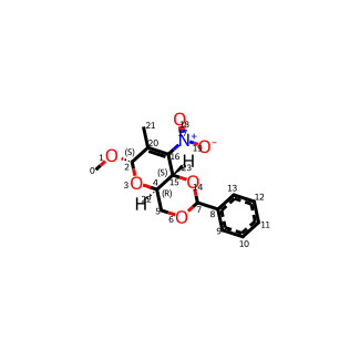 CO[C@H]1O[C@@H]2COC(c3ccccc3)O[C@H]2C([N+](=O)[O-])=C1C